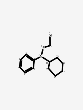 SCSN(c1ccccc1)C1CCCCC1